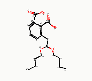 CCCCOC(Cc1cccc(C(=O)O)c1C(=O)O)OCCCC